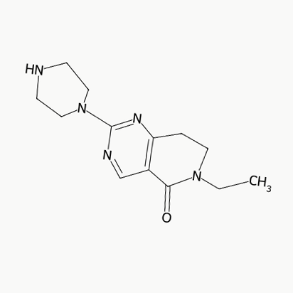 CCN1CCc2nc(N3CCNCC3)ncc2C1=O